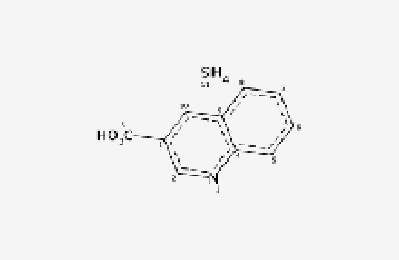 O=C(O)c1cnc2ccccc2c1.[SiH4]